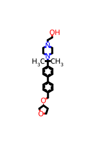 CC(C)(c1ccc(-c2ccc(CO[C@@H]3CCOC3)cc2)cc1)N1CCN(CCO)CC1